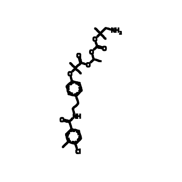 Cc1cc(C(=O)NCCc2ccc(OC(C)(C)C(=O)OC(C)OC(=O)OC(C)(C)CN)cc2)ccc1Cl